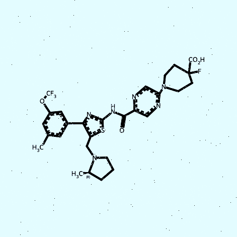 Cc1cc(OC(F)(F)F)cc(-c2nc(NC(=O)c3cnc(N4CCC(F)(C(=O)O)CC4)cn3)sc2CN2CCC[C@H]2C)c1